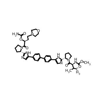 COC(=O)N[C@H](C(=O)N1CCC[C@H]1c1ncc(-c2ccc(-c3ccc(-c4cnc([C@@H]5CCCN5C(=O)[C@H](CCN5CCOCC5)OC(N)=O)[nH]4)cc3)cc2)[nH]1)C(C)C